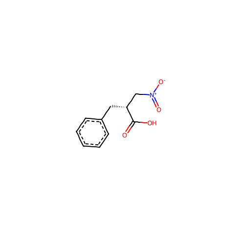 O=C(O)[C@H](Cc1ccccc1)C[N+](=O)[O-]